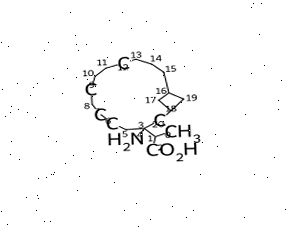 CC(C(=O)O)C1(N)CCCCCCCCCCCC2CC(C2)C1